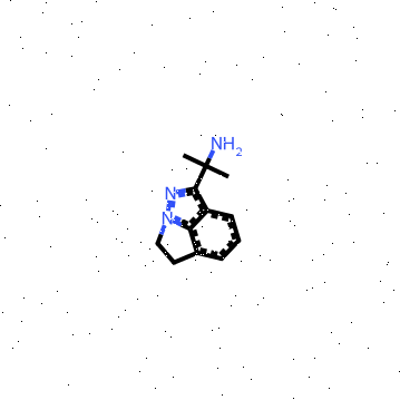 CC(C)(N)c1nn2c3c(cccc13)CC2